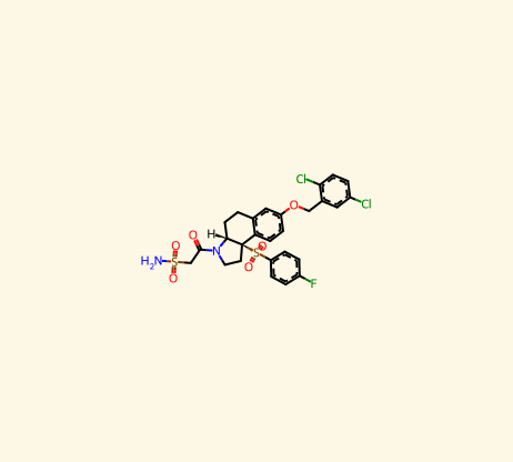 NS(=O)(=O)CC(=O)N1CC[C@@]2(S(=O)(=O)c3ccc(F)cc3)c3ccc(OCc4cc(Cl)ccc4Cl)cc3CC[C@@H]12